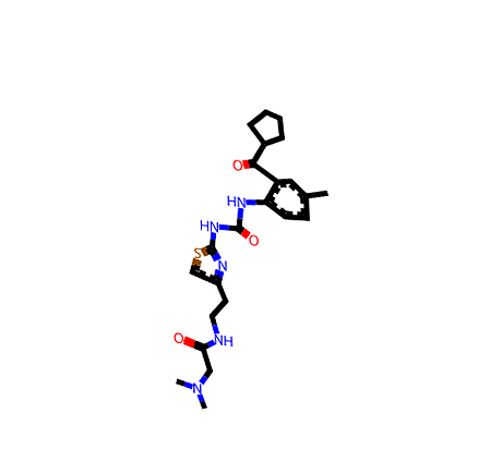 Cc1ccc(NC(=O)Nc2nc(CCNC(=O)CN(C)C)cs2)c(C(=O)C2CCCC2)c1